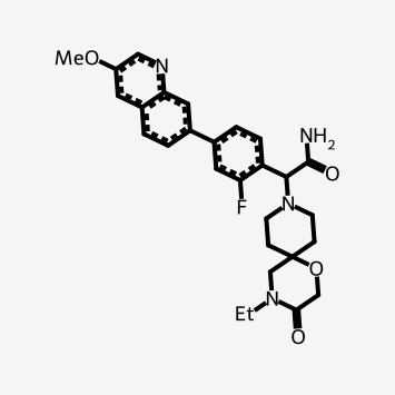 CCN1CC2(CCN(C(C(N)=O)c3ccc(-c4ccc5cc(OC)cnc5c4)cc3F)CC2)OCC1=O